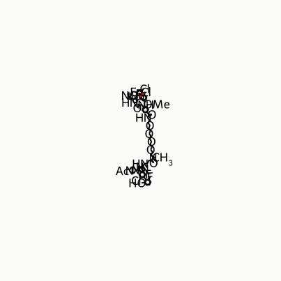 COc1cc(C(=O)NCCOCCOCCOCCOCCN(C)C(=O)CCNc2nc(N3CCN(C(C)=O)CC3)c3cc(Cl)c(-c4c(O)cccc4F)c(F)c3n2)ccc1NC(=O)[C@@H]1N[C@@H](CC(C)(C)C)[C@](C#N)(c2ccc(Cl)cc2F)[C@H]1c1cccc(Cl)c1F